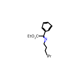 CCOC(=O)/C(=N\CCCC(C)C)c1ccccc1